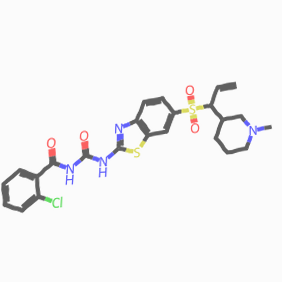 C=CC(C1CCCN(C)C1)S(=O)(=O)c1ccc2nc(NC(=O)NC(=O)c3ccccc3Cl)sc2c1